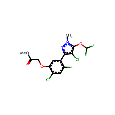 COC(=O)COc1cc(-c2nn(C)c(OC(F)F)c2Cl)c(F)cc1Cl